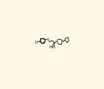 Cl.O=C(CCSc1ccc(Cl)cc1)N1CCN(C2CCCC2)CC1